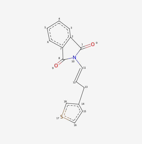 O=C1c2ccccc2C(=O)N1/C=C/Cc1ccsc1